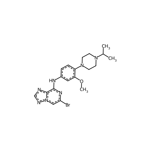 COc1cc(Nc2nc(Br)cn3ncnc23)ccc1N1CCN(C(C)C)CC1